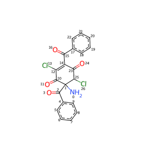 NC1(C(=O)c2ccccc2)C(=O)C(Cl)=C(C(=O)c2ccccc2)C(=O)C1Cl